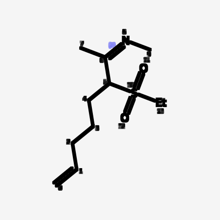 C=CCCCC(/C(C)=N\C)S(=O)(=O)CC